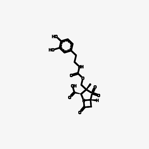 C[C@]1(COC(=O)NCCc2ccc(O)c(O)c2)[C@@H](C(=O)O)N2C(=O)C[C@H]2S1(=O)=O